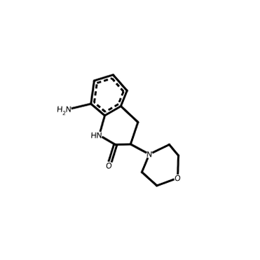 Nc1cccc2c1NC(=O)C(N1CCOCC1)C2